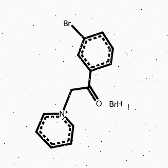 Br.O=C(C[n+]1ccccc1)c1cccc(Br)c1.[I-]